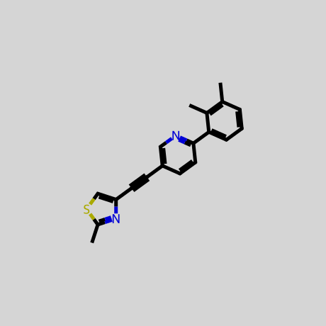 Cc1nc(C#Cc2ccc(-c3cccc(C)c3C)nc2)cs1